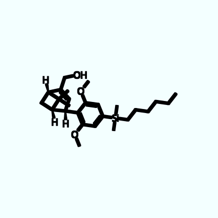 CCCCCC[Si](C)(C)c1cc(OC)c([C@H]2C=C(CO)[C@H]3C[C@@H]2C3(C)C)c(OC)c1